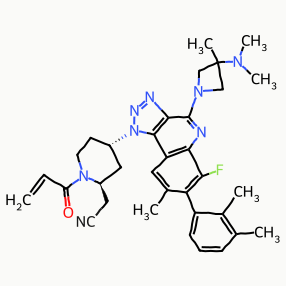 C=CC(=O)N1CC[C@H](n2nnc3c(N4CC(C)(N(C)C)C4)nc4c(F)c(-c5cccc(C)c5C)c(C)cc4c32)C[C@H]1CC#N